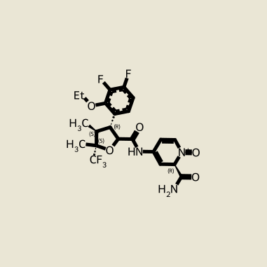 CCOc1c([C@@H]2C(C(=O)NC3=C[C@H](C(N)=O)[N+](=O)C=C3)O[C@](C)(C(F)(F)F)[C@H]2C)ccc(F)c1F